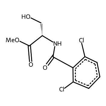 COC(=O)[C@H](CO)NC(=O)c1c(Cl)cccc1Cl